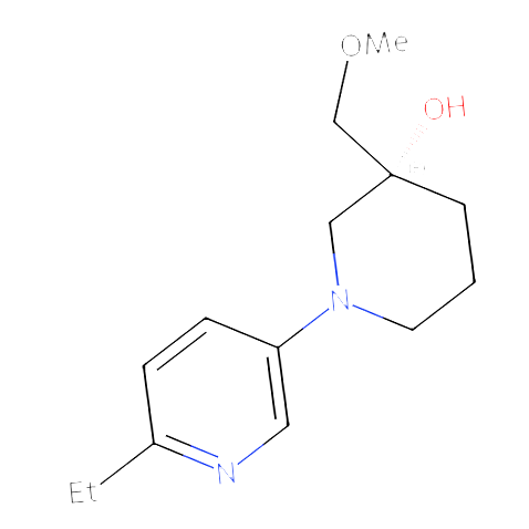 CCc1ccc(N2CCC[C@](O)(COC)C2)cn1